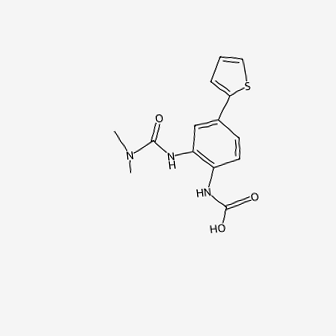 CN(C)C(=O)Nc1cc(-c2cccs2)ccc1NC(=O)O